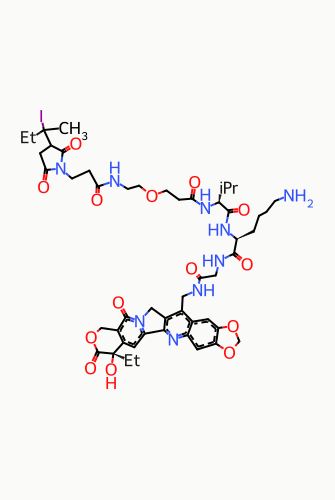 CCC(C)(I)C1CC(=O)N(CCC(=O)NCCOCCC(=O)N[C@H](C(=O)N[C@@H](CCCCN)C(=O)NCC(=O)NCc2c3c(nc4cc5c(cc24)OCO5)-c2cc4c(c(=O)n2C3)COC(=O)[C@]4(O)CC)C(C)C)C1=O